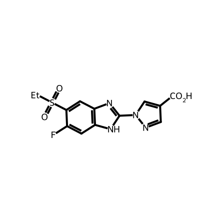 CCS(=O)(=O)c1cc2nc(-n3cc(C(=O)O)cn3)[nH]c2cc1F